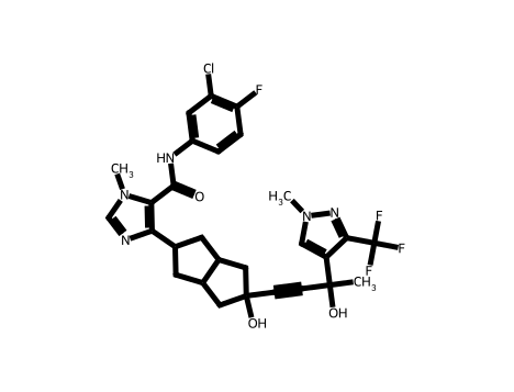 Cn1cc(C(C)(O)C#CC2(O)CC3CC(c4ncn(C)c4C(=O)Nc4ccc(F)c(Cl)c4)CC3C2)c(C(F)(F)F)n1